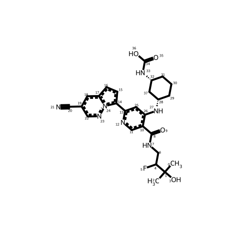 CC(C)(O)C(F)CNC(=O)c1cnc(-c2ccc3cc(C#N)cnn23)cc1N[C@H]1CCC[C@@H](NC(=O)O)C1